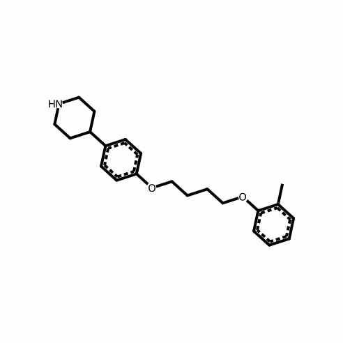 Cc1ccccc1OCCCCOc1ccc(C2CCNCC2)cc1